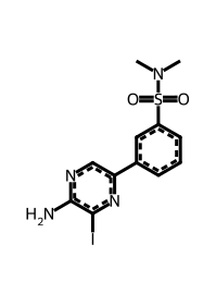 CN(C)S(=O)(=O)c1cccc(-c2cnc(N)c(I)n2)c1